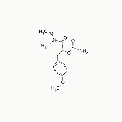 COc1ccc(CC(OC(N)=O)C(=O)N(C)OC)cc1